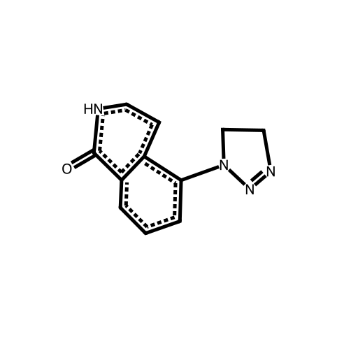 O=c1[nH]ccc2c(N3CCN=N3)cccc12